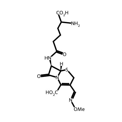 CON=CC1=C(C(=O)O)N2C(=O)[C@@H](NC(=O)CCCC(N)C(=O)O)[C@@H]2SC1